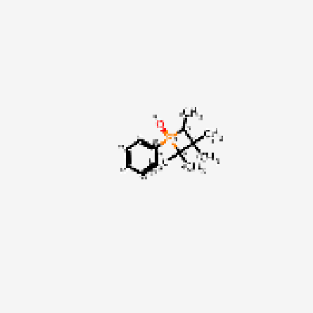 CC1C(C)(C)C(C)(C)P1(=O)c1ccccc1